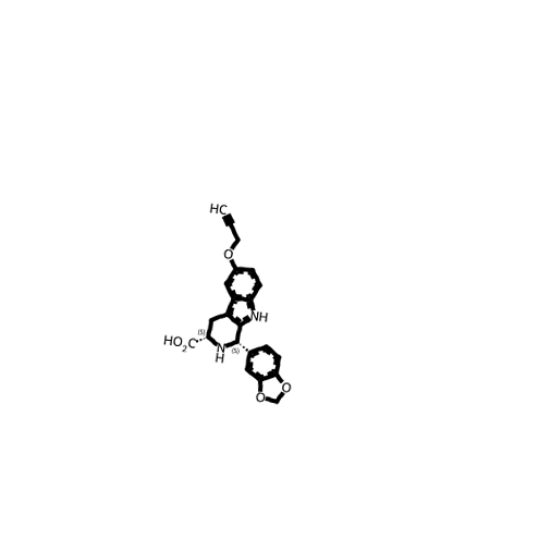 C#CCOc1ccc2[nH]c3c(c2c1)C[C@@H](C(=O)O)N[C@H]3c1ccc2c(c1)OCO2